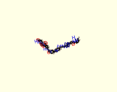 Cc1cccc(C(=O)NC2CC(n3cnc4c(NCCC5CCN(CC6CCN(C(=O)CNc7ccc8c(c7)C(=O)N([C@H]7CCC(=O)NC7=O)C8=O)CC6)CC5)ncnc43)C2)n1